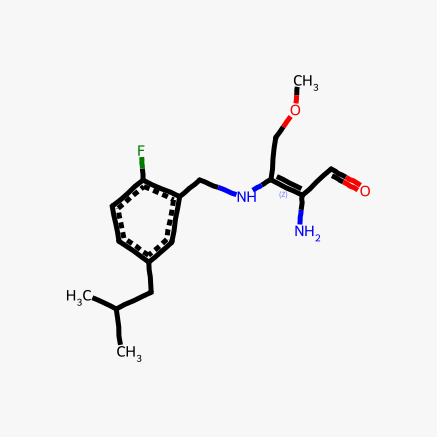 COC/C(NCc1cc(CC(C)C)ccc1F)=C(/N)C=O